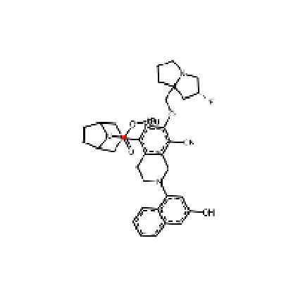 CC(C)(C)OC(=O)N1C2CCC1CN(c1nc(OCC34CCCN3C[C@H](F)C4)c(C#N)c3c1CCN(c1cc(O)cc4ccccc14)C3)C2